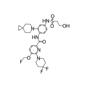 O=C(Nc1ccc(NS(=O)(=O)CCO)cc1N1CCC2(CC1)CC2)c1ccc(OCF)c(N2CCC(F)(F)CC2)n1